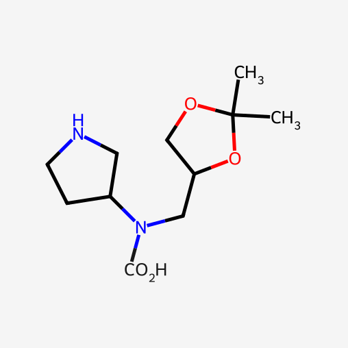 CC1(C)OCC(CN(C(=O)O)C2CCNC2)O1